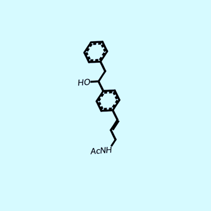 CC(=O)NCC=Cc1ccc(C(O)Cc2ccccc2)cc1